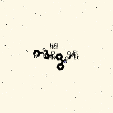 CCN(CC)C(=O)CO/N=C(/c1ccccc1)c1cccc(NC(=O)c2ccn3c2CSC3c2cccnc2)c1.Cl.Cl